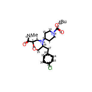 CNC(=O)C1CN(C2CCN(C(=O)OC(C)(C)C)CC2)C(Cc2ccc(Cl)cc2)CO1